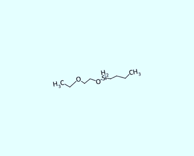 CCCC[SiH2]OCCOCC